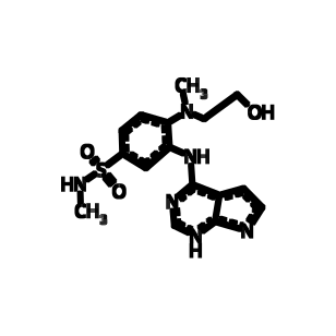 CNS(=O)(=O)c1ccc(N(C)CCO)c(Nc2nc[nH]c3nccc2-3)c1